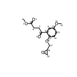 COC(=O)CCC(=O)c1cc(OC)ccc1OCC1CO1